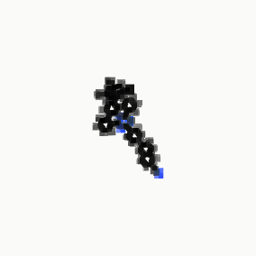 N#Cc1ccc2cc(-c3ccc(-c4nc(-c5ccccc5)nc(-c5ccccc5-c5ccc(C67C[C@H]8C[C@@H](C6)C[C@@H](C7)C8)cc5)n4)cc3)ccc2c1